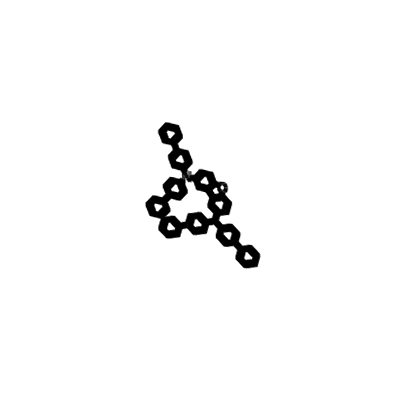 c1ccc(-c2ccc(C(c3ccc(-c4ccccc4)cc3)c3ccc4oc5ccc(N(c6ccc(-c7ccccc7)cc6)c6ccc(-c7ccccc7)cc6)cc5c4c3)cc2)cc1